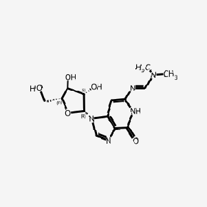 CN(C)C=Nc1cc2c(ncn2[C@@H]2O[C@H](CO)C(O)[C@@H]2O)c(=O)[nH]1